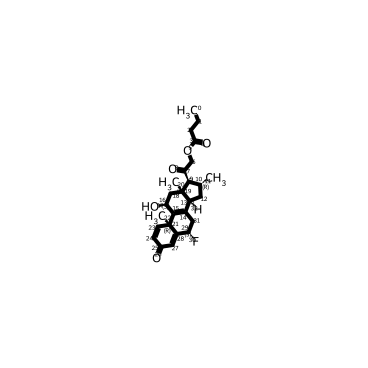 CCCC(=O)OCC(=O)[C@H]1[C@H](C)C[C@H]2C3=C([C@@H](O)C[C@@]21C)[C@@]1(C)C=CC(=O)C=C1[C@@H](F)C3